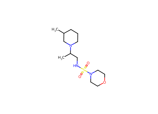 CC1CCCN(C(C)CNS(=O)(=O)N2CCOCC2)C1